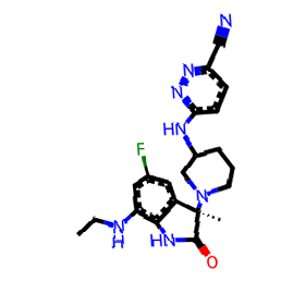 CCNc1cc(F)cc2c1NC(=O)[C@]2(C)N1CCCC(Nc2ccc(C#N)nn2)C1